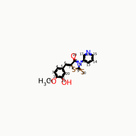 COc1ccc(/C=C2\SC(=S)N(c3cccnc3)C2=O)cc1O